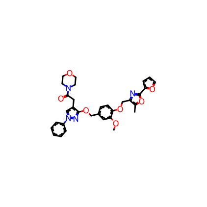 COc1cc(COc2nn(-c3ccccc3)cc2CC(=O)N2CCOCC2)ccc1OCc1nc(-c2ccco2)oc1C